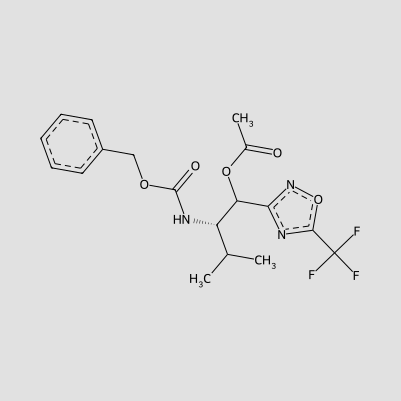 CC(=O)OC(c1noc(C(F)(F)F)n1)[C@@H](NC(=O)OCc1ccccc1)C(C)C